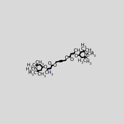 C/C(=C/C(=O)OCC#CCOC(=O)/C=C(/C)OC1CC(C)(C)N(C)C(C)(C)C1)OC1CC(C)(C)N(C)C(C)(C)C1